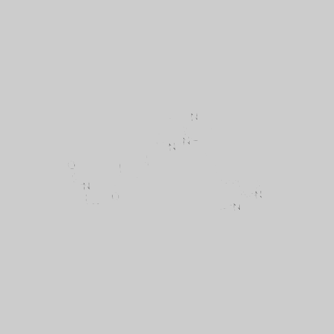 Cn1ccc2c(C#Cc3cnc4ccc(-c5ccc(C6CN(C=O)CCO6)cc5)nn34)ccnc21